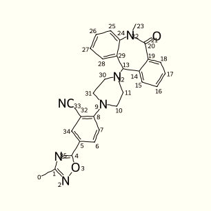 Cc1noc(-c2ccc(N3CCN(C4c5ccccc5C(=O)N(C)c5ccccc54)CC3)c(C#N)c2)n1